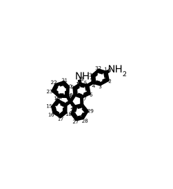 Nc1ccc(-c2cc3c(cc2N)C(c2ccccc2)(c2ccccc2)c2ccccc2-3)cc1